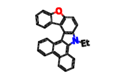 CCn1c2ccc3oc4ccccc4c3c2c2c3ccccc3c3ccccc3c21